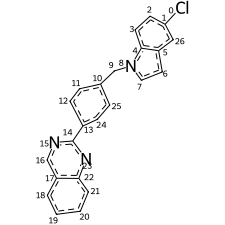 Clc1ccc2c(ccn2Cc2ccc(-c3ncc4ccccc4n3)cc2)c1